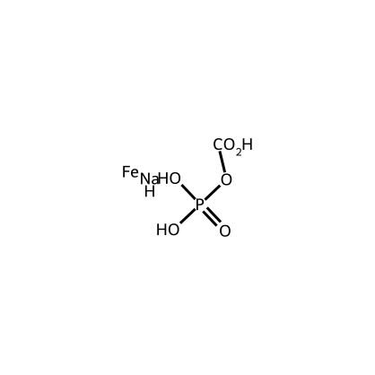 O=C(O)OP(=O)(O)O.[Fe].[NaH]